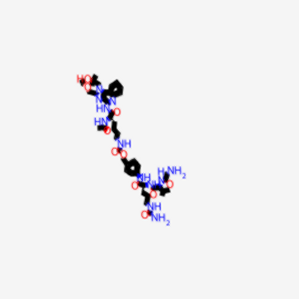 CCOCc1nc2c(NC(=O)[C@H](CCCCNC(=O)OCc3ccc(NC(=O)[C@H](CCCNC(N)=O)NC(=O)C(NC(=O)CN)C(C)C)cc3)NC(C)=O)nc3ccccc3c2n1CC(C)(C)O